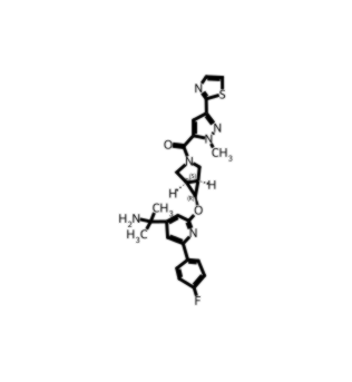 Cn1nc(-c2nccs2)cc1C(=O)N1C[C@@H]2[C@H](C1)[C@@H]2Oc1cc(C(C)(C)N)cc(-c2ccc(F)cc2)n1